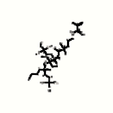 C=C(C)C(=O)OCCC[Si](C)(C)C(C)O[Si](C)(CCC(F)(F)F)C(CC)(CC)O[Si](C)(CCCC)CCC(F)(F)F